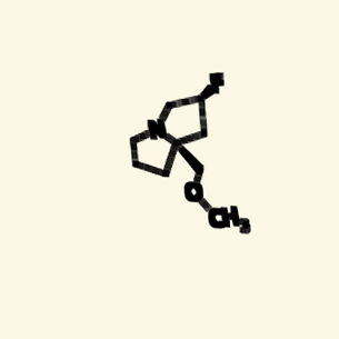 COC[C@@]12CCCN1C[C@@H](F)C2